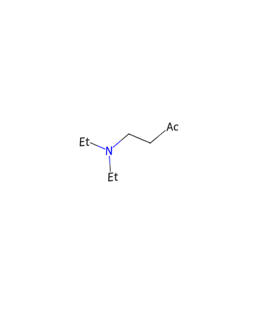 CCN(CC)CCC(C)=O